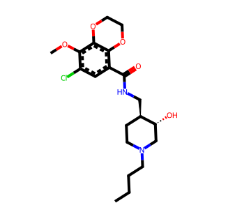 CCCCN1CC[C@@H](CNC(=O)c2cc(Cl)c(OC)c3c2OCCO3)[C@H](O)C1